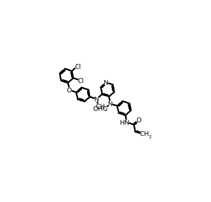 C=CC(=O)Nc1cccc(N(C=O)c2ccncc2N(C)c2ccc(Oc3cccc(Cl)c3Cl)cc2)c1